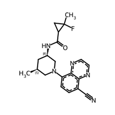 C[C@H]1C[C@@H](NC(=O)C2CC2(C)F)CN(c2ccc(C#N)c3nccnc23)C1